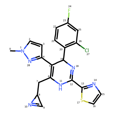 Cn1ccc(C2=C(CC3C=N3)NC(c3nccs3)=NC2c2ccc(F)cc2Cl)n1